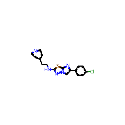 Clc1ccc(-c2cn3nc(NCCc4ccncc4)sc3n2)cc1